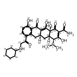 CN(C)[C@@H]1C(O)=C(C(N)=O)C(=O)[C@@]2(O)C(O)=C3C(=O)c4c(O)ccc(C(=O)CNC5CCCCC5)c4C[C@H]3C[C@@H]12